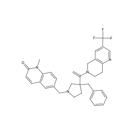 C=C(N1CCc2ncc(C(F)(F)F)cc2C1)C1(Cc2ccccc2)CCN(Cc2ccc3c(ccc(=O)n3C)c2)C1